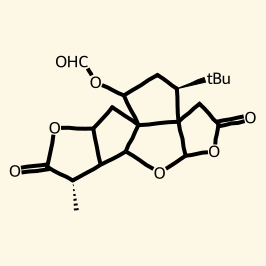 C[C@@H]1C(=O)OC2CC34C(OC=O)C[C@@H](C(C)(C)C)C35CC(=O)OC5OC4C21